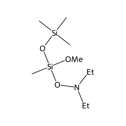 CCN(CC)O[Si](C)(OC)O[Si](C)(C)C